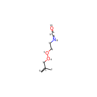 C=C(C)COOCCN=C=O